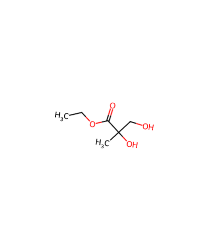 CCOC(=O)C(C)(O)CO